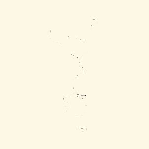 C=CC(O)CC(COc1ccc(CCCCCC)cc1)OCOS(=O)(=O)O